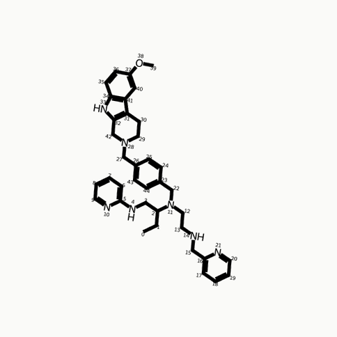 CCC(CNc1ccccn1)N(CCNCc1ccccn1)Cc1ccc(CN2CCc3c([nH]c4ccc(OC)cc34)C2)cc1